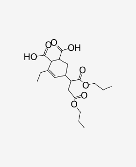 CCCOC(=O)CC(C(=O)OCCC)C1C=C(CC)C(C(=O)O)C(C(=O)O)C1